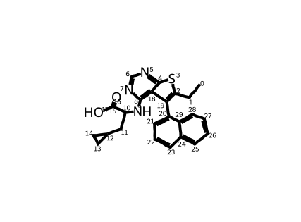 CCc1sc2ncnc(NC(CC3CC3)C(=O)O)c2c1-c1cccc2ccccc12